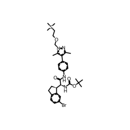 Cc1nn(COCCS(C)(C)C)c(C)c1-c1ccc(NC(=O)[C@@H](NC(=O)OC(C)(C)C)[C@@H]2CCc3ccc(Br)cc32)cc1